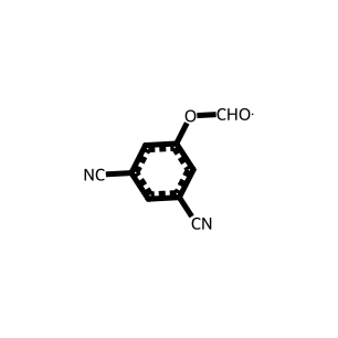 N#Cc1cc(C#N)cc(O[C]=O)c1